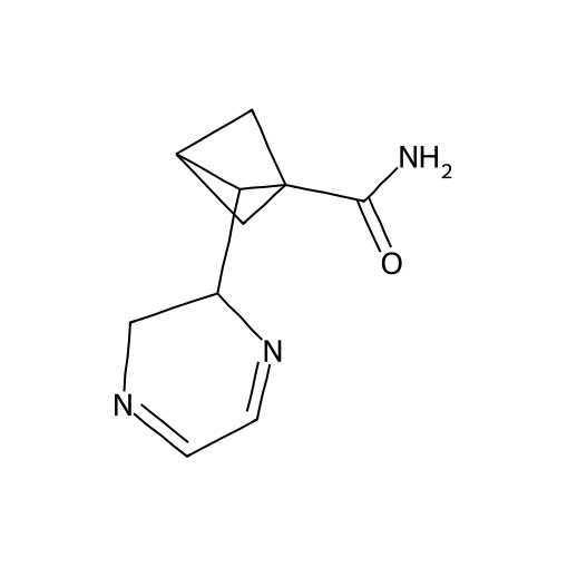 NC(=O)C12CC(C1)C2C1CN=CC=N1